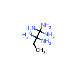 CCC(N)(N)C(N)(N)N